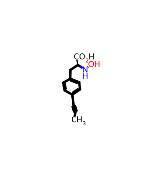 CC#Cc1ccc(C[C@H](NO)C(=O)O)cc1